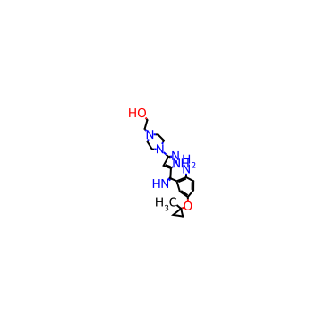 CC1(Oc2ccc(N)c(C(=N)c3cc(N4CCN(CCO)CC4)n[nH]3)c2)CC1